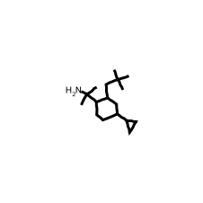 CC(C)(C)CC1CC(C2CC2)CCC1C(C)(C)N